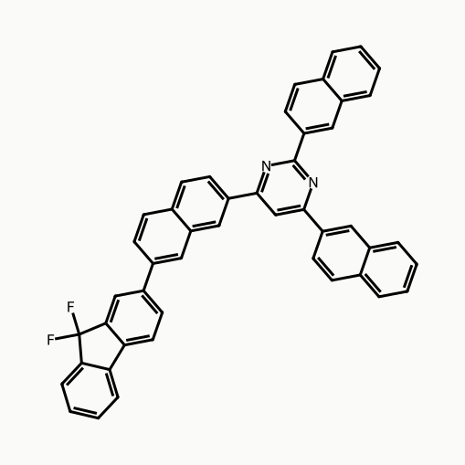 FC1(F)c2ccccc2-c2ccc(-c3ccc4ccc(-c5cc(-c6ccc7ccccc7c6)nc(-c6ccc7ccccc7c6)n5)cc4c3)cc21